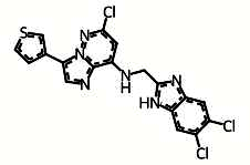 Clc1cc(NCc2nc3cc(Cl)c(Cl)cc3[nH]2)c2ncc(-c3ccsc3)n2n1